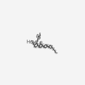 C=CC(=O)OCCOc1cc(-c2ccc(-c3ccc(C4CCC(CCCCC)CC4)cc3)cc2F)ccc1CCO